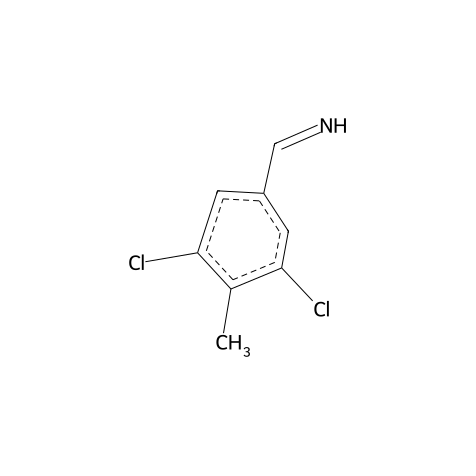 Cc1c(Cl)cc(C=N)cc1Cl